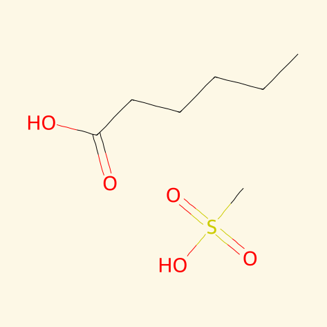 CCCCCC(=O)O.CS(=O)(=O)O